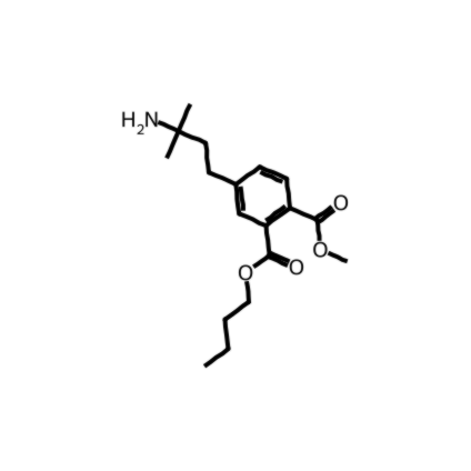 CCCCOC(=O)c1cc(CCC(C)(C)N)ccc1C(=O)OC